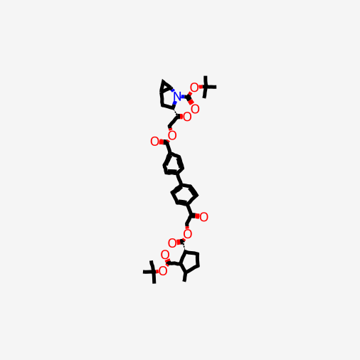 CC1CC[C@@H](C(=O)OCC(=O)c2ccc(-c3ccc(C(=O)OCC(=O)[C@@H]4CC5CC5N4C(=O)OC(C)(C)C)cc3)cc2)C1C(=O)OC(C)(C)C